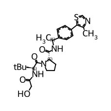 Cc1ncsc1-c1ccc([C@H](C)NC(=O)[C@@H]2CCCN2C(=O)[C@@H](NC(=O)CO)C(C)(C)C)cc1